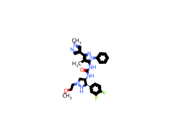 COCCN1C[C@@H](NC(=O)Nc2c(C)c(-c3cnn(C)c3)nn2-c2ccccc2)[C@H](c2ccc(F)c(F)c2)N1